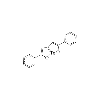 C1=C(c2ccccc2)O[Te]2=C1C=C(c1ccccc1)O2